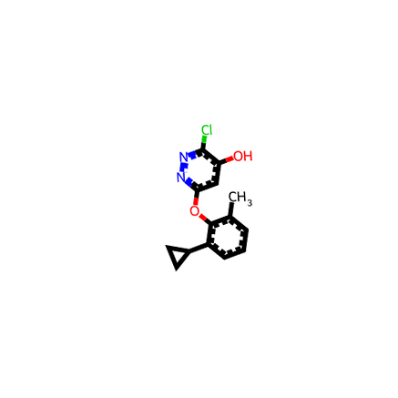 Cc1cccc(C2CC2)c1Oc1cc(O)c(Cl)nn1